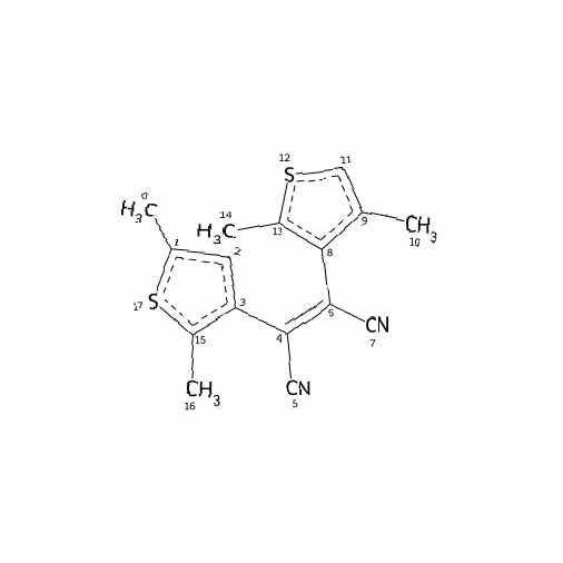 Cc1cc(/C(C#N)=C(/C#N)c2c(C)csc2C)c(C)s1